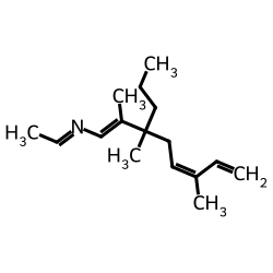 C=C/C(C)=C\CC(C)(CCC)/C(C)=C/N=C/C